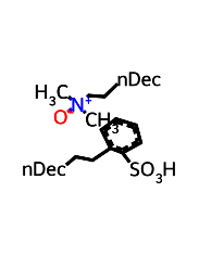 CCCCCCCCCCCC[N+](C)(C)[O-].CCCCCCCCCCCCc1ccccc1S(=O)(=O)O